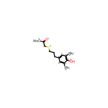 COC(=O)CSCCCc1cc(C(C)(C)C)c(O)c(C(C)(C)C)c1